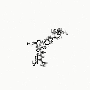 C[C@H]1CC[C@H](c2ccc3c(c2)NC([C@@H]2CCN(C)C(C)(C)C2)S3)N(C(=O)C(=O)Nc2cnc(N)c(C3COC3)c2)C1